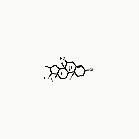 C[C@]12CCC(O)C=C1CC(O)[C@@H]1[C@H]2CC[C@]2(C)C(O)C(I)C[C@@H]12